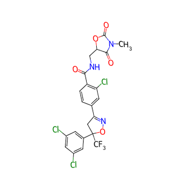 CN1C(=O)OC(CNC(=O)c2ccc(C3=NOC(c4cc(Cl)cc(Cl)c4)(C(F)(F)F)C3)cc2Cl)C1=O